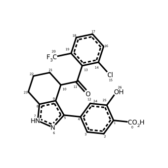 O=C(O)c1ccc(-c2n[nH]c3c2C(C(=O)c2c(Cl)cccc2C(F)(F)F)CCC3)cc1O